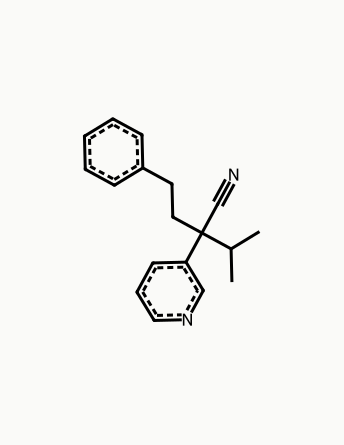 CC(C)C(C#N)(CCc1ccccc1)c1cccnc1